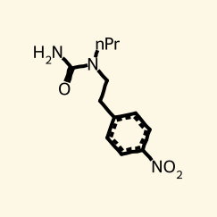 CCCN(CCc1ccc([N+](=O)[O-])cc1)C(N)=O